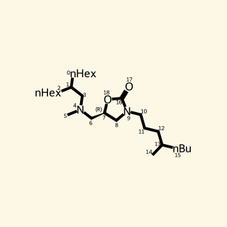 CCCCCCC(CCCCCC)CN(C)C[C@@H]1CN(CCCC(C)CCCC)C(=O)O1